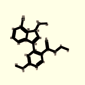 CCOC(=O)c1cnc(SC)nc1-c1cn(OC)c2c(Cl)cccc12